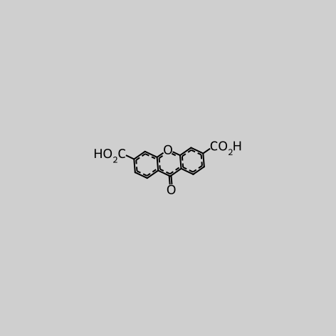 O=C(O)c1ccc2c(=O)c3ccc(C(=O)O)cc3oc2c1